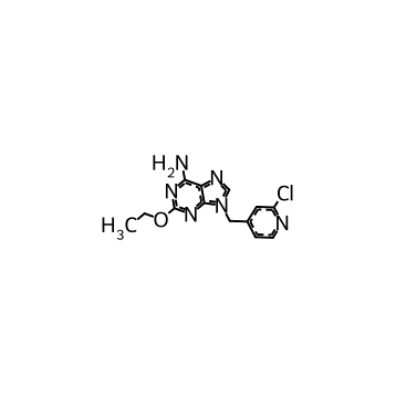 CCOc1nc(N)c2ncn(Cc3ccnc(Cl)c3)c2n1